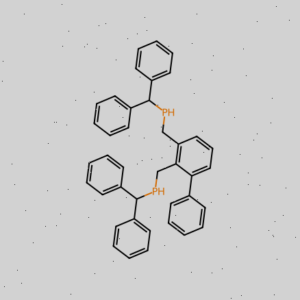 c1ccc(-c2cccc(CPC(c3ccccc3)c3ccccc3)c2CPC(c2ccccc2)c2ccccc2)cc1